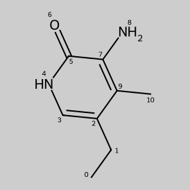 CCc1c[nH]c(=O)c(N)c1C